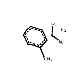 CC(=O)CC(C)=O.Cc1ccccc1.[Pd]